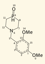 COc1ccc(CN2CC[PH](=O)CC2)c(OC)c1